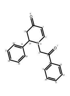 O=C1C=CN(CC(=O)c2ccccc2)C(c2ccccc2)C1